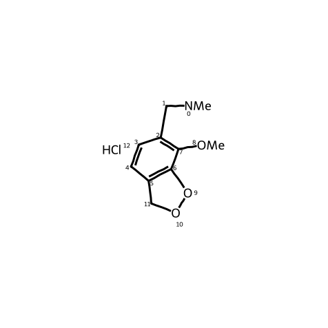 CNCc1ccc2c(c1OC)OOC2.Cl